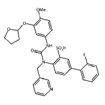 COc1ccc(NC(=O)N(Cc2cccnc2)c2ccc(-c3ccccc3F)cc2S(=O)(=O)O)cc1OC1CCCO1